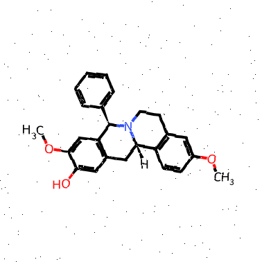 COc1ccc2c(c1)CCN1[C@H](c3ccccc3)c3cc(OC)c(O)cc3C[C@@H]21